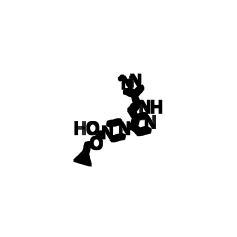 Cn1cc(-c2cc3c(N4CCN(C(O)OCC5CC5)CC4)ccnc3[nH]2)cn1